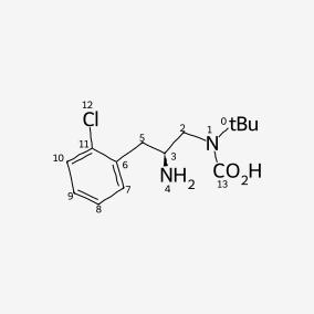 CC(C)(C)N(C[C@@H](N)Cc1ccccc1Cl)C(=O)O